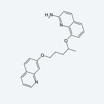 CC(CCCOc1ccc2cccnc2c1)Oc1cccc2ccc(N)nc12